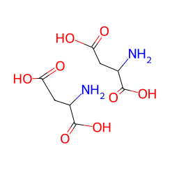 NC(CC(=O)O)C(=O)O.NC(CC(=O)O)C(=O)O